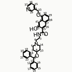 O=C(NCCN1CCC(OC(c2ccccc2)c2ccccc2)CC1)c1cc2cccc(OCc3cccnc3)c2cc1O